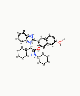 COc1ccc2cc(-c3nc4ccccc4n3C(C(=O)NC3CCCCC3)C3CCCCC3)ccc2c1